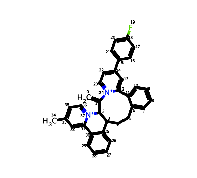 C=C1C2C(CCc3ccccc3-c3cc(-c4ccc(F)cc4)cc[n+]31)c1ccccc1-c1cc(C)cc[n+]12